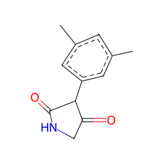 Cc1cc(C)cc(C2C(=O)CNC2=O)c1